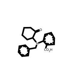 O=C(O)c1ccccc1N(Cc1ccccc1)C1CCCCC1=O